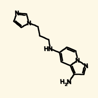 Nc1cnn2ccc(NCCCn3ccnc3)cc12